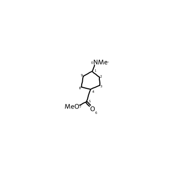 C[N]C1CCC(C(=O)OC)CC1